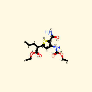 CCCC(C(=O)OCC)c1cc(NC(=O)OCC)c(C(N)=O)s1